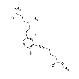 COC(=O)CCCC#Cc1c(F)ccc(OC[C@@H](C)CCC(N)=O)c1F